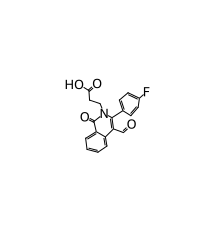 O=Cc1c(-c2ccc(F)cc2)n(CCC(=O)O)c(=O)c2ccccc12